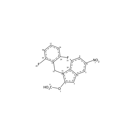 O=C(O)Oc1cc2cc([N+](=O)[O-])ccc2n1Cc1c(F)cccc1F